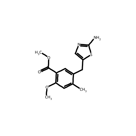 COC(=O)c1cc(Cc2cnc(N)s2)c(C)cc1OC